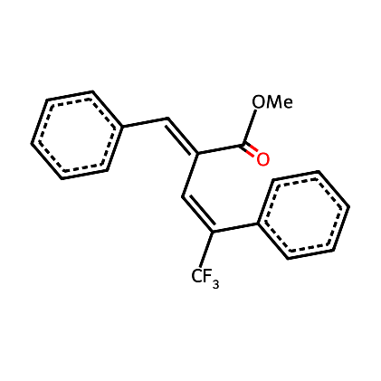 COC(=O)C(=C/c1ccccc1)/C=C(\c1ccccc1)C(F)(F)F